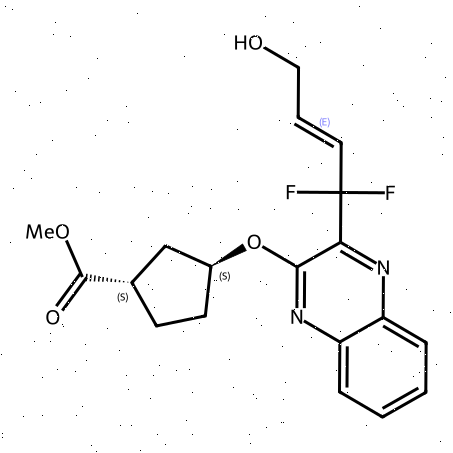 COC(=O)[C@H]1CC[C@H](Oc2nc3ccccc3nc2C(F)(F)/C=C/CO)C1